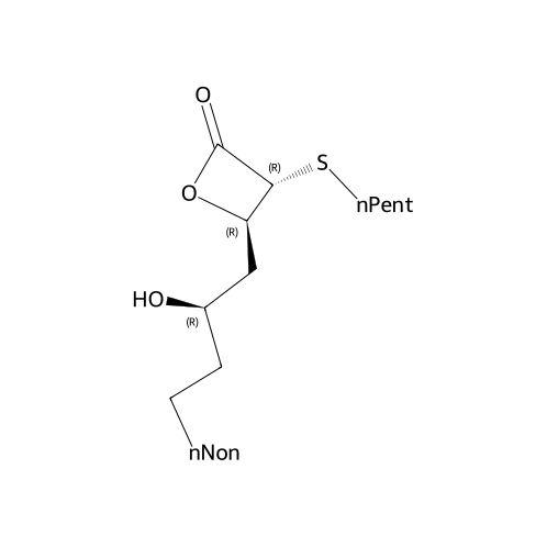 CCCCCCCCCCC[C@@H](O)C[C@H]1OC(=O)[C@@H]1SCCCCC